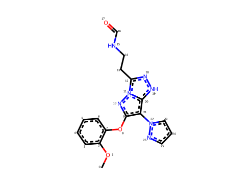 COc1ccccc1Oc1nn2c(CCNC=O)n[nH]c2c1-n1cccn1